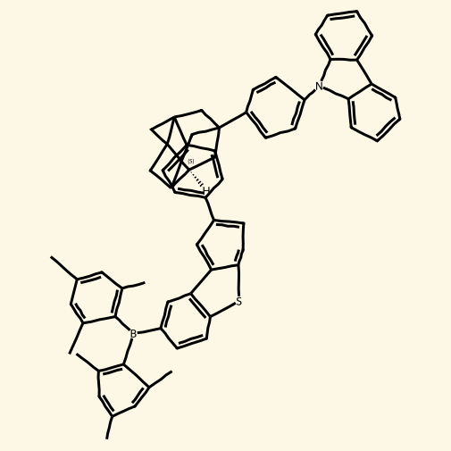 Cc1cc(C)c(B(c2ccc3sc4ccc(-c5ccc(C67CC8(c9ccc(-n%10c%11ccccc%11c%11ccccc%11%10)cc9)CC9CC6(C7)[C@H]9C8)cc5)cc4c3c2)c2c(C)cc(C)cc2C)c(C)c1